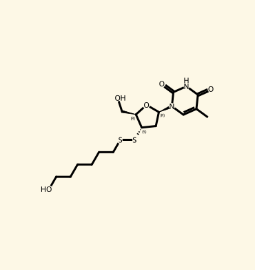 Cc1cn([C@H]2C[C@H](SSCCCCCCO)[C@@H](CO)O2)c(=O)[nH]c1=O